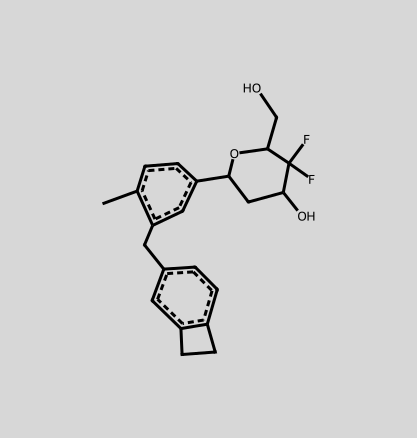 Cc1ccc(C2CC(O)C(F)(F)C(CO)O2)cc1Cc1ccc2c(c1)CC2